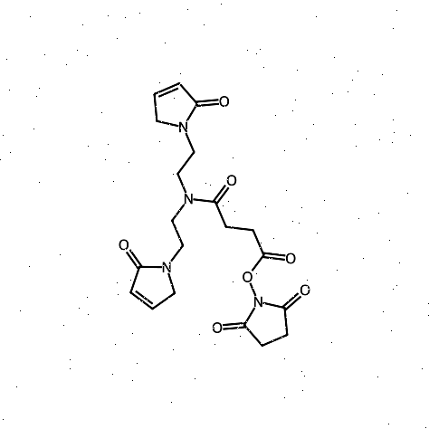 O=C(CCC(=O)N(CCN1CC=CC1=O)CCN1CC=CC1=O)ON1C(=O)CCC1=O